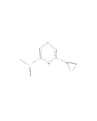 CN(C)c1cccc(C2CN2)c1